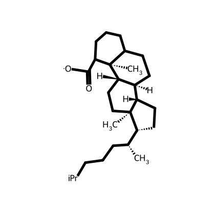 CC(C)CCC[C@@H](C)[C@H]1CC[C@H]2[C@@H]3CCC4CCCC(C([O])=O)[C@]4(C)[C@H]3CC[C@]12C